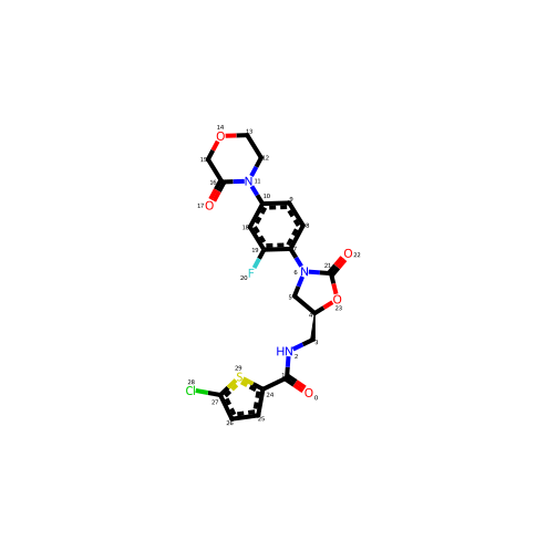 O=C(NC[C@H]1CN(c2ccc(N3CCOCC3=O)cc2F)C(=O)O1)c1ccc(Cl)s1